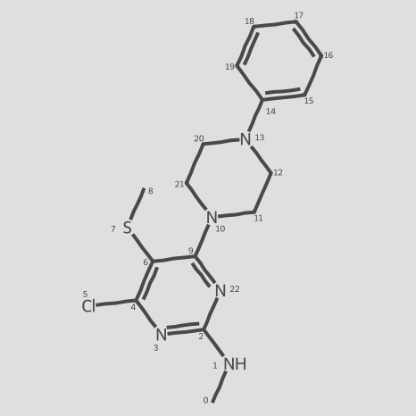 CNc1nc(Cl)c(SC)c(N2CCN(c3ccccc3)CC2)n1